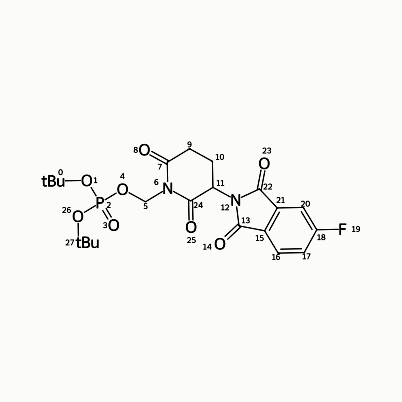 CC(C)(C)OP(=O)(OCN1C(=O)CCC(N2C(=O)c3ccc(F)cc3C2=O)C1=O)OC(C)(C)C